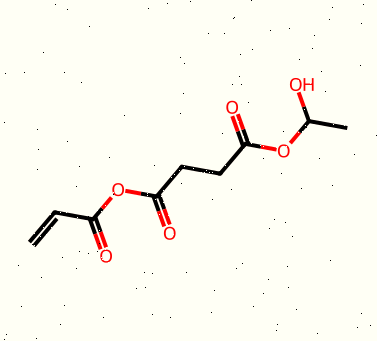 C=CC(=O)OC(=O)CCC(=O)OC(C)O